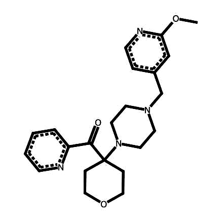 COc1cc(CN2CCN(C3(C(=O)c4ccccn4)CCOCC3)CC2)ccn1